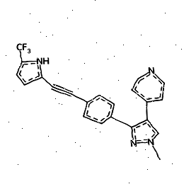 Cn1cc(-c2ccncc2)c(-c2ccc(C#Cc3ccc(C(F)(F)F)[nH]3)cc2)n1